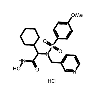 COc1ccc(S(=O)(=O)N(Cc2cccnc2)C(C(=O)NO)C2CCCCC2)cc1.Cl